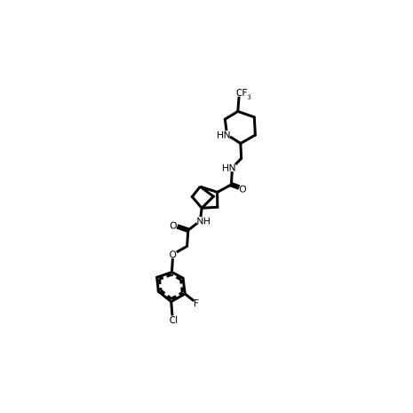 O=C(COc1ccc(Cl)c(F)c1)NC12CC(C1)C(C(=O)NCC1CCC(C(F)(F)F)CN1)C2